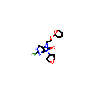 O=c1n(CCOC2CCCCO2)c2cnc(Cl)nc2n1C1CCOCC1